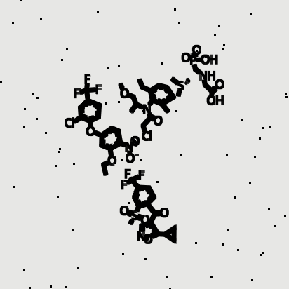 CCOc1cc(Oc2ccc(C(F)(F)F)cc2Cl)ccc1[N+](=O)[O-].CCc1cccc(C)c1N(C(=O)CCl)C(C)COC.CS(=O)(=O)c1cc(C(F)(F)F)ccc1C(=O)c1cnoc1C1CC1.C[S+](C)C.O=C(O)CNCP(=O)([O-])O